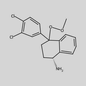 COOC1(c2ccc(Cl)c(Cl)c2)CC[C@@H](N)c2ccccc21